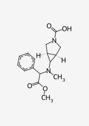 COC(=O)C(c1ccccc1)N(C)C1[C@H]2CN(C(=O)O)C[C@@H]12